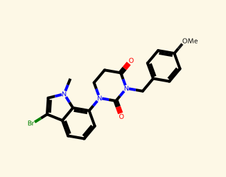 COc1ccc(CN2C(=O)CCN(c3cccc4c(Br)cn(C)c34)C2=O)cc1